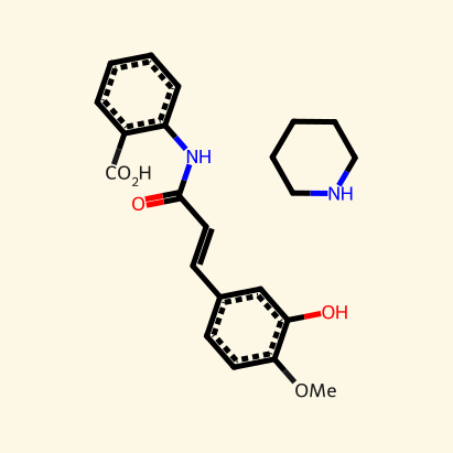 C1CCNCC1.COc1ccc(C=CC(=O)Nc2ccccc2C(=O)O)cc1O